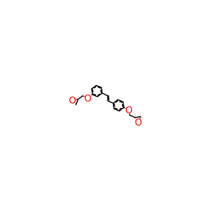 C(=Cc1cccc(OCC2CO2)c1)c1ccc(OCC2CO2)cc1